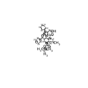 CC(C)CN(C(=O)c1nnn(-c2ccccc2)c1CO)[C@H]1C[C@@H](C(=O)N2CCOCC2)CN(C(=O)OC(C)(C)C)C1